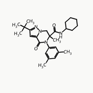 Cc1cc(C)cc(N2C(=O)c3cc(C(C)(C)C)nn3CC2(C)C(=O)NC2CCCCC2)c1